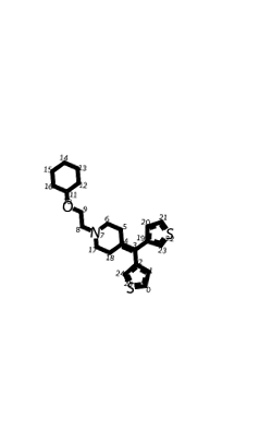 c1cc(C(=C2CCN(CCOC3CCCCC3)CC2)c2ccsc2)cs1